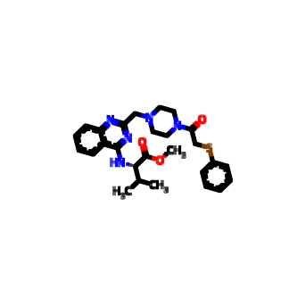 COC(=O)[C@@H](Nc1nc(CN2CCN(C(=O)CSc3ccccc3)CC2)nc2ccccc12)C(C)C